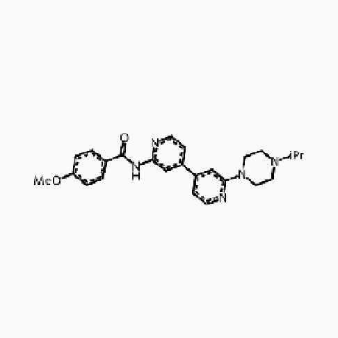 COc1ccc(C(=O)Nc2cc(-c3ccnc(N4CCN(C(C)C)CC4)c3)ccn2)cc1